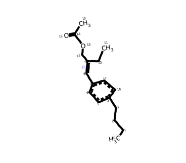 CCCCc1ccc(/C=C(\CC)COC(C)=O)cc1